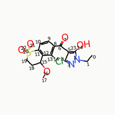 CCn1ncc(C(=O)c2ccc3c(c2Cl)C(OC)CCS3(=O)=O)c1O